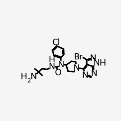 CC(C)(N)CCNC(=O)N(c1ccc(Cl)cc1)C1CCN(c2ncnc3[nH]nc(Br)c23)CC1